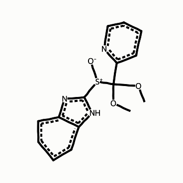 COC(OC)(c1ccccn1)[S+]([O-])c1nc2ccccc2[nH]1